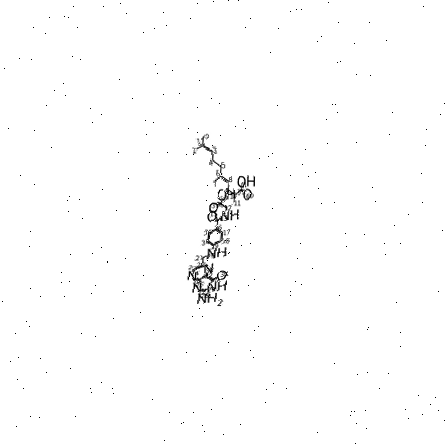 CC(C)=CCC/C(C)=C/CC(C[C@H](NC(=O)c1ccc(NCc2cnc3nc(N)[nH]c(=O)c3n2)cc1)C(=O)O)C(=O)O